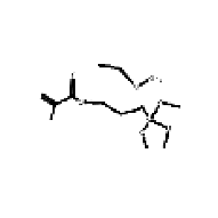 C=C(C)C(=O)OCCC[Si](OC)(OC)OC.CCO[SiH3]